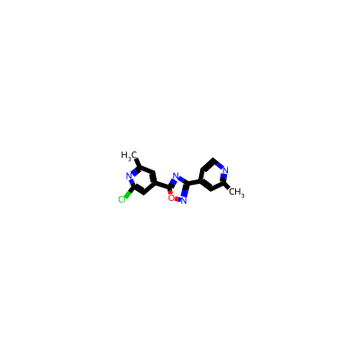 Cc1cc(-c2noc(-c3cc(C)nc(Cl)c3)n2)ccn1